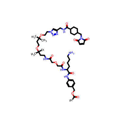 CCC(C)(CCNC(=O)COCC(=O)NC(CCCCN)C(=O)Nc1ccc(COC(=O)C(C)C)cc1)OCCC(C)(C)OCCn1cc(CNC(=O)C2CCC(CN3C(=O)C=CC3=O)CC2)nn1